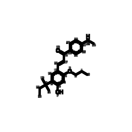 CCCOc1cc(O)c(C(C)(C)CC)cc1/C=C/C(=O)c1ccc(NC)cc1